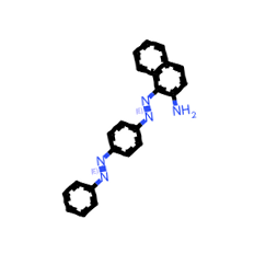 Nc1ccc2ccccc2c1/N=N/c1ccc(/N=N/c2ccccc2)cc1